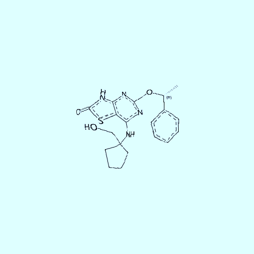 C[C@@H](Oc1nc(NC2(CO)CCCC2)c2sc(=O)[nH]c2n1)c1ccccc1